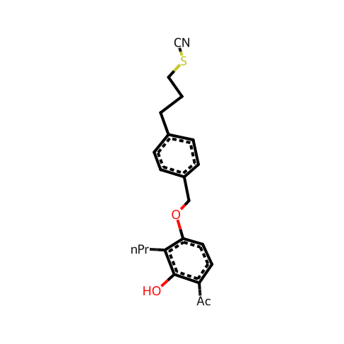 CCCc1c(OCc2ccc(CCCSC#N)cc2)ccc(C(C)=O)c1O